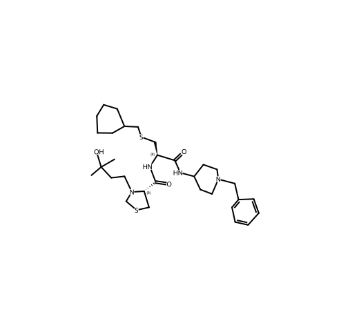 CC(C)(O)CCN1CSC[C@H]1C(=O)N[C@@H](CSCC1CCCCC1)C(=O)NC1CCN(Cc2ccccc2)CC1